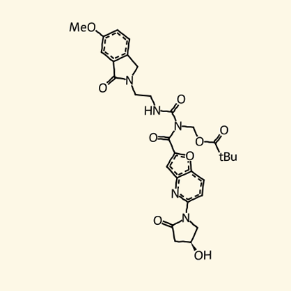 COc1ccc2c(c1)C(=O)N(CCNC(=O)N(COC(=O)C(C)(C)C)C(=O)c1cc3nc(N4C[C@@H](O)CC4=O)ccc3o1)C2